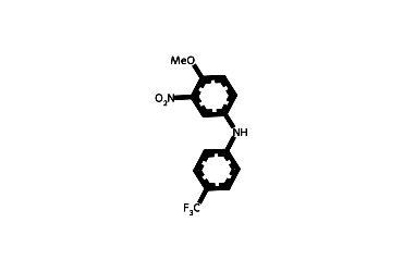 COc1ccc(Nc2ccc(C(F)(F)F)cc2)cc1[N+](=O)[O-]